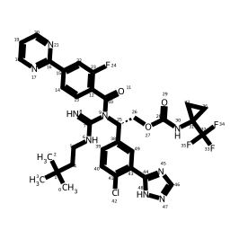 CC(C)(C)CCNC(=N)N(C(=O)c1ccc(-c2ncccn2)cc1F)[C@H](COC(=O)NC1(C(F)(F)F)CC1)c1ccc(Cl)c(-c2ncn[nH]2)c1